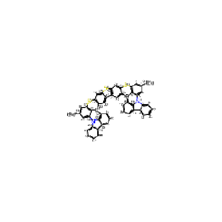 CC(C)(C)c1cc2c3c(c1)-n1c4ccccc4c4cccc(c41)B3c1cc3c(cc1S2)sc1cc2c(cc13)B1c3c(cc(C(C)(C)C)cc3-n3c4ccccc4c4cccc1c43)S2